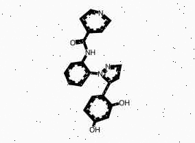 O=C(Nc1ccccc1-n1nccc1-c1ccc(O)cc1O)c1ccncc1